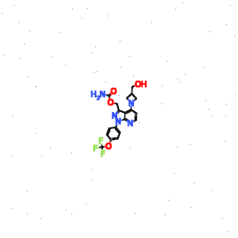 NC(=O)OCc1nn(-c2ccc(OC(F)(F)F)cc2)c2nccc(N3CC(CO)C3)c12